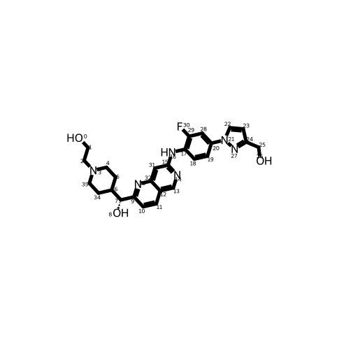 OCCN1CCC([C@@H](O)c2ccc3cnc(Nc4ccc(-n5ccc(CO)n5)cc4F)cc3n2)CC1